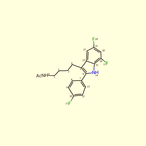 CC(=O)NCCCCc1c(-c2ccc(F)cc2)[nH]c2c(F)cc(F)cc12